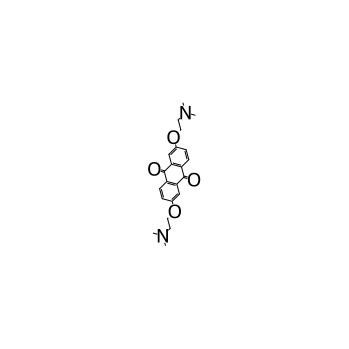 CN(C)CCOc1ccc2c(c1)C(=O)c1ccc(OCCN(C)C)cc1C2=O